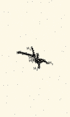 CCCCCCCCN(CCCC(C)C1CC[C@H]2C3[C@H](OCCCN)CC4C[C@H](OCCCN)CCC4(C)[C@H]3C[C@H](OCCCN)C12C)C(O)NCCOCCOCCOCCN=[N+]=[N-]